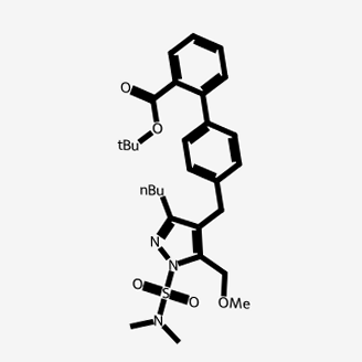 CCCCc1nn(S(=O)(=O)N(C)C)c(COC)c1Cc1ccc(-c2ccccc2C(=O)OC(C)(C)C)cc1